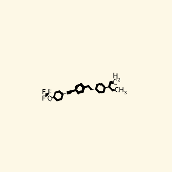 C=CC(CC)[C@H]1CC[C@H](CCc2ccc(C#C[C@H]3CC[C@H](OC(F)(F)F)CC3)cc2)CC1